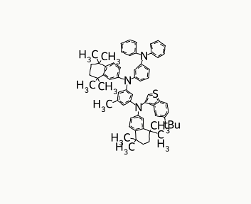 Cc1cc(N(c2cccc(N(c3ccccc3)c3ccccc3)c2)c2ccc3c(c2)C(C)(C)CCC3(C)C)cc(N(c2ccc3c(c2)C(C)(C)CCC3(C)C)c2csc3ccc(C(C)(C)C)cc23)c1